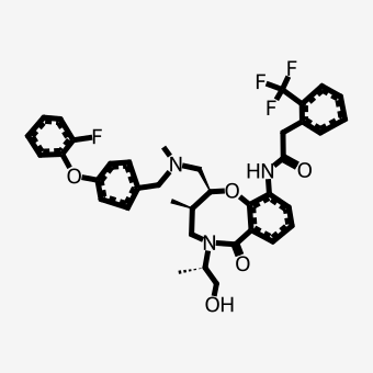 C[C@@H]1CN([C@@H](C)CO)C(=O)c2cccc(NC(=O)Cc3ccccc3C(F)(F)F)c2O[C@@H]1CN(C)Cc1ccc(Oc2ccccc2F)cc1